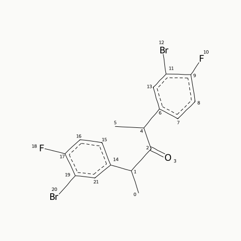 CC(C(=O)C(C)c1ccc(F)c(Br)c1)c1ccc(F)c(Br)c1